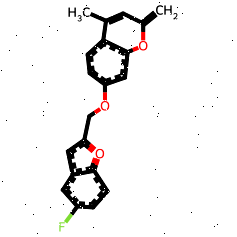 C=C1C=C(C)c2ccc(OCc3cc4cc(F)ccc4o3)cc2O1